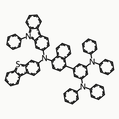 c1ccc(N(c2ccccc2)c2cc(-c3ccc(N(c4ccc5c(c4)sc4ccccc45)c4ccc5c6ccccc6n(-c6ccccc6)c5c4)c4ccccc34)cc(N(c3ccccc3)c3ccccc3)c2)cc1